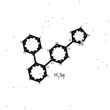 [SeH2].c1ccc(-c2ccccc2-c2ccc(-c3cccs3)cc2)cc1